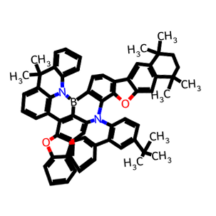 CC(C)(C)c1ccc(N2c3cc4c(oc5ccccc54)c4c3B(c3ccc5c(oc6cc7c(cc65)C(C)(C)CCC7(C)C)c32)N2c3ccccc3C(C)(C)c3cccc-4c32)c(-c2ccccc2)c1